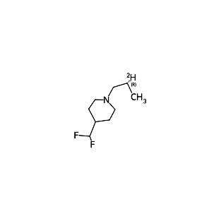 [2H][C@H](C)CN1CCC(C(F)F)CC1